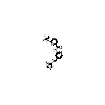 Cn1cnnc1SCc1ccnc(NC(=O)c2cccc(OC(F)(F)F)n2)c1